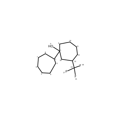 OC1(C2CCCCCC2)CCCCC(C(F)(F)F)C1